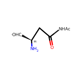 CC(=O)NC(=O)C[C@@H](N)[C]=O